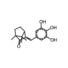 CC12CCC(C(=Cc3cc(O)c(O)c(O)c3)C1=O)C2(C)C